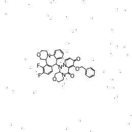 O=C1c2c(OCc3ccccc3)c(=O)ccn2N(C2c3ccccc3N3CCOCC3c3c2ccc(F)c3F)C2COCCN12